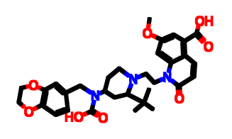 COc1cc(C(=O)O)c2ccc(=O)n(CCN3CCC(N(Cc4ccc5c(c4)OCCO5)C(=O)O)CC3C(C)(C)C)c2c1